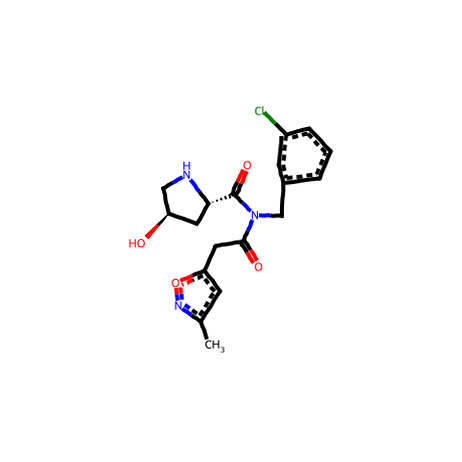 Cc1cc(CC(=O)N(Cc2cccc(Cl)c2)C(=O)[C@@H]2C[C@@H](O)CN2)on1